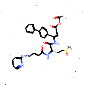 C[S+]([O-])CC[C@H](NC(=O)CCCNc1ccccn1)C(=O)NC(CC(=O)OC(=O)C(F)(F)F)c1ccc(-c2ccccc2)cc1